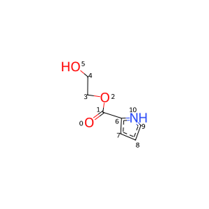 O=C(OCCO)c1ccc[nH]1